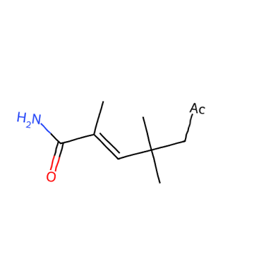 CC(=O)CC(C)(C)/C=C(\C)C(N)=O